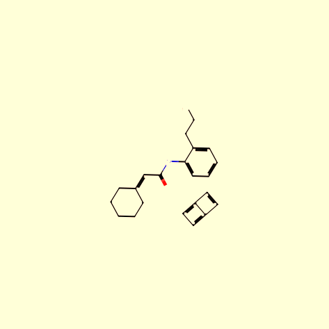 CCCc1ccccc1NC(=O)C=C1CCCCC1.c1cc2ccc1-2